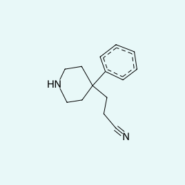 N#CCCC1(c2ccccc2)CCNCC1